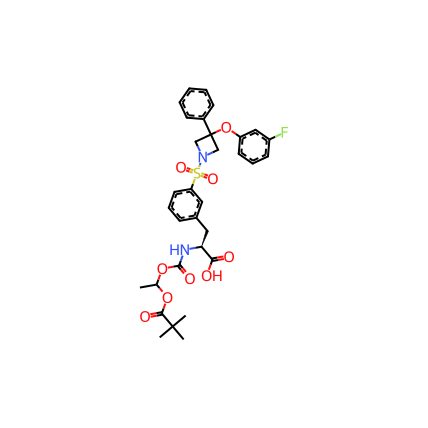 CC(OC(=O)N[C@@H](Cc1cccc(S(=O)(=O)N2CC(Oc3cccc(F)c3)(c3ccccc3)C2)c1)C(=O)O)OC(=O)C(C)(C)C